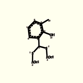 CCCCCCCCSC(SCCCCCCCC)c1cccc(C)c1O